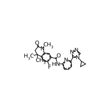 CN1C(=O)CC(C)(C)c2cc(F)c(C(=O)Nc3cccc(-c4nncn4C4CC4)n3)cc21